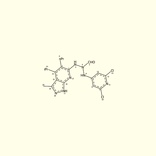 CCCc1c(NN(C=O)Nc2cc(Cl)nc(Cl)c2)nc2[nH]nc(C)c2c1C(C)C